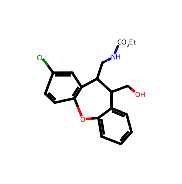 CCOC(=O)NCC1c2cc(Cl)ccc2Oc2ccccc2C1CO